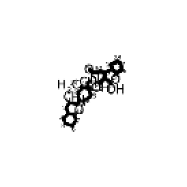 CC(CC1CCCCC1)C(=O)N1CCC(O)(Cn2cc(C(=O)O)c(-c3ccccc3)cc2=O)C(C)(C)C1